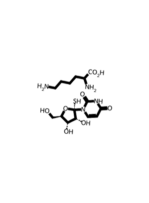 NCCCCC(N)C(=O)O.O=c1ccn([C@]2(S)O[C@H](CO)[C@@H](O)[C@H]2O)c(=O)[nH]1